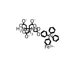 CC(N)(CC(=O)[O-])C(CC(=O)[O-])(CC(=O)[O-])NCC(=O)[O-].[Fe+3].c1ccc([P+](c2ccccc2)(c2ccccc2)c2ccccc2)cc1